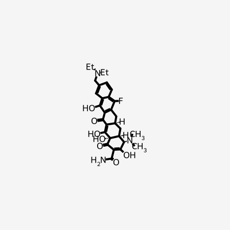 CCN(CC)Cc1ccc2c(F)c3c(c(O)c2c1)C(=O)C1=C(O)[C@]2(O)C(=O)C(C(N)=O)=C(O)[C@@H](N(C)C)[C@@H]2C[C@@H]1C3